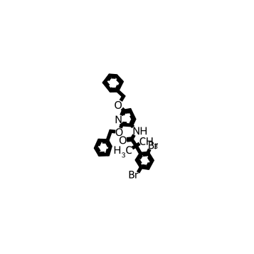 CC(C)(C(=O)Nc1ccc(OCc2ccccc2)nc1OCc1ccccc1)c1cc(Br)ccc1Br